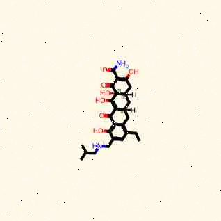 CCc1cc(CNCC(C)C)c(O)c2c1C[C@H]1C[C@H]3CC(O)=C(C(N)=O)C(=O)[C@@]3(O)C(O)=C1C2=O